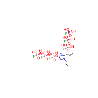 C=CCc1nccn1CC=C.O=P(O)(O)F.O=P(O)(O)F.O=P(O)(O)F.O=P(O)(O)F.O=P(O)(O)F.O=P(O)(O)F